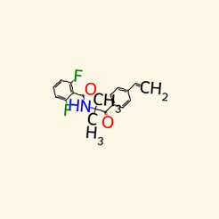 C=Cc1ccc(C(=O)C(C)(C)NC(=O)c2c(F)cccc2F)cc1